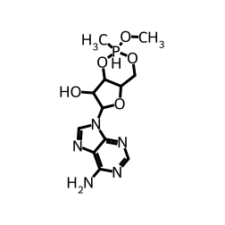 CO[PH]1(C)OCC2OC(n3cnc4c(N)ncnc43)C(O)C2O1